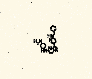 NC1CCC(Nc2ccc3ncc(-c4ccc(NCc5ccccc5)nc4)n3n2)CC1